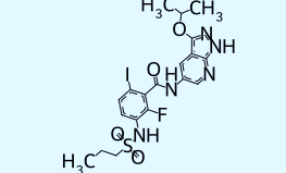 CCCS(=O)(=O)Nc1ccc(I)c(C(=O)Nc2cnc3[nH]nc(OC(C)C)c3c2)c1F